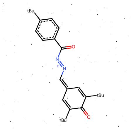 CC(C)(C)C1=CC(=C/N=N/C(=O)c2ccc(C(C)(C)C)cc2)C=C(C(C)(C)C)C1=O